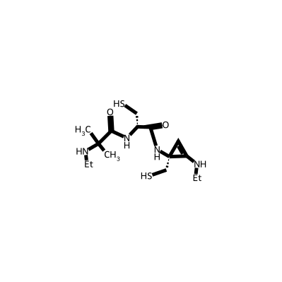 CCNC1=C[C@]1(CS)NC(=O)[C@@H](CS)NC(=O)C(C)(C)NCC